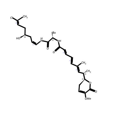 COC1=CC[C@@H]([C@@H](C)/C=C(C)/C=C/C=C/C(=O)N[C@H](C(=O)N/C=C\C[C@@H](O)C/C=C(\C)Cl)C(C)(C)C)OC1=O